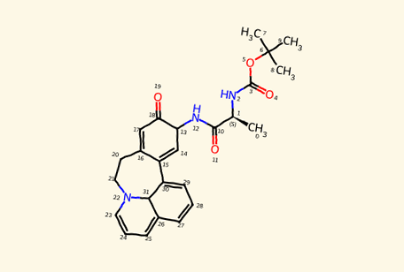 C[C@H](NC(=O)OC(C)(C)C)C(=O)NC1C=C2C(=CC1=O)CCN1C=CC=C3C=CC=C2C31